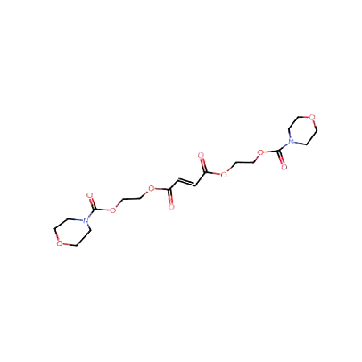 O=C(/C=C/C(=O)OCCOC(=O)N1CCOCC1)OCCOC(=O)N1CCOCC1